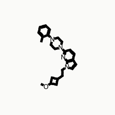 COC1CC(CCn2ccc3ccc(N4CCN(c5ccccc5C)CC4)nc32)C1